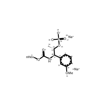 CCCCCCOC(=O)N[C@H](c1cccc(OC)c1)[C@H](C)OP(=O)([O-])[O-].[Na+].[Na+]